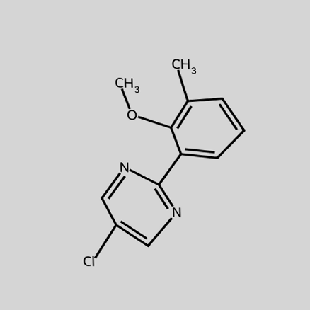 COc1c(C)cccc1-c1ncc(Cl)cn1